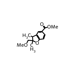 COCC1(C)Oc2ccc(C(=O)OC)cc2C1C